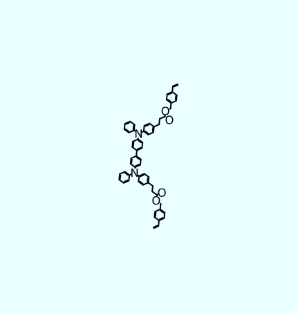 C=Cc1ccc(COC(=O)CCc2ccc(N(c3ccccc3)c3ccc(-c4ccc(N(c5ccccc5)c5ccc(CCC(=O)OCc6ccc(C=C)cc6)cc5)cc4)cc3)cc2)cc1